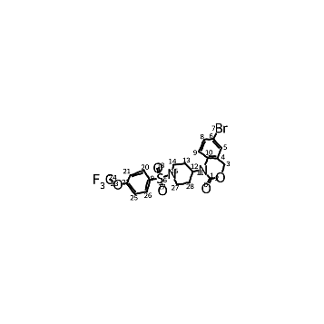 O=C1OCc2cc(Br)ccc2N1C1CCN(S(=O)(=O)c2ccc(OC(F)(F)F)cc2)CC1